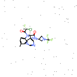 Cc1ccc(N(C(=O)[C@H](F)Cl)[C@@](C)(C(=O)NC2CN(C(F)(F)F)C2)c2cncnc2)cc1